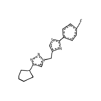 Fc1ccc(-c2nc(Cn3cc(C4CCCC4)nn3)cs2)cc1